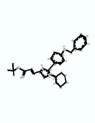 CC(C)(C)OC(=O)/C=C/c1cn(C2CCCCC2)c(-c2ccc(OCc3ccccc3)cc2)n1